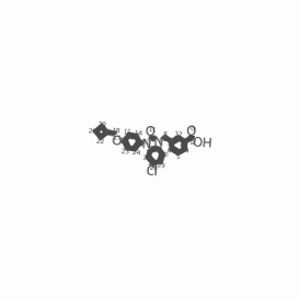 O=C(O)c1cccc(Cn2c(=O)n(-c3ccc(OCC4CCC4)cc3)c3cc(Cl)ccc32)c1